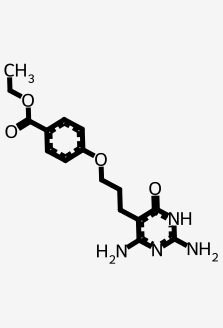 CCOC(=O)c1ccc(OCCCc2c(N)nc(N)[nH]c2=O)cc1